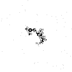 CON=C(C(=O)N[C@@H]1C(=O)N2C(OC(=O)O)=C(CSc3nc(-c4ccc(OC(C)=O)c(OC(C)=O)c4)cs3)CS[C@@H]12)c1csc(N)n1